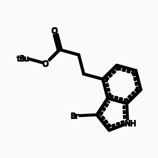 CC(C)(C)OC(=O)CCc1cccc2[nH]cc(Br)c12